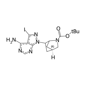 CC(C)(C)OC(=O)N1C[C@@H]2CC1C(n1nc(I)c3c(N)ncnc31)C2